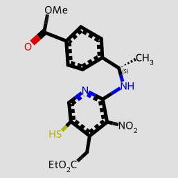 CCOC(=O)Cc1c(S)cnc(N[C@@H](C)c2ccc(C(=O)OC)cc2)c1[N+](=O)[O-]